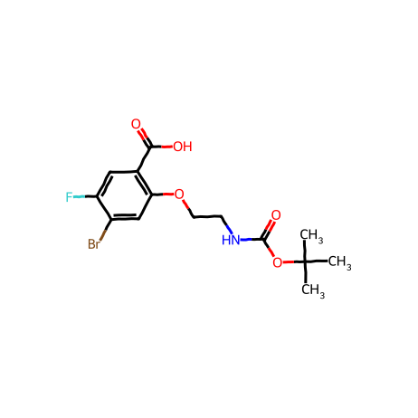 CC(C)(C)OC(=O)NCCOc1cc(Br)c(F)cc1C(=O)O